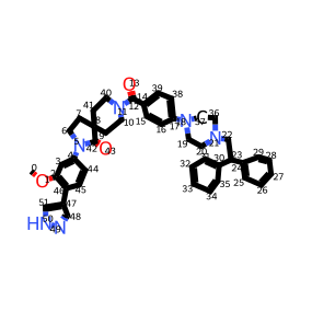 COc1cc(N2CCC3(CCN(C(=O)c4ccc(N5CCN(CC(c6ccccc6)c6ccccc6)CC5)cc4)CC3)C2=O)ccc1-c1cn[nH]c1